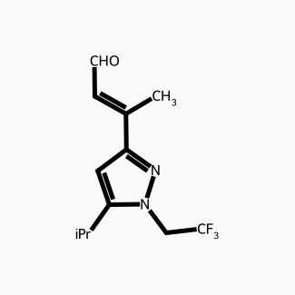 CC(=CC=O)c1cc(C(C)C)n(CC(F)(F)F)n1